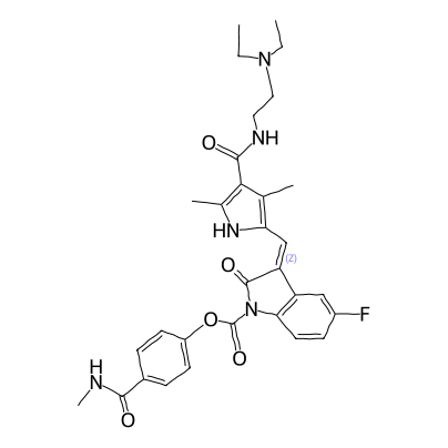 CCN(CC)CCNC(=O)c1c(C)[nH]c(/C=C2\C(=O)N(C(=O)Oc3ccc(C(=O)NC)cc3)c3ccc(F)cc32)c1C